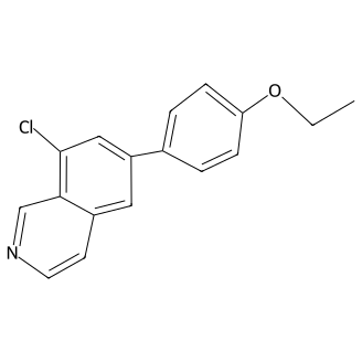 CCOc1ccc(-c2cc(Cl)c3cnccc3c2)cc1